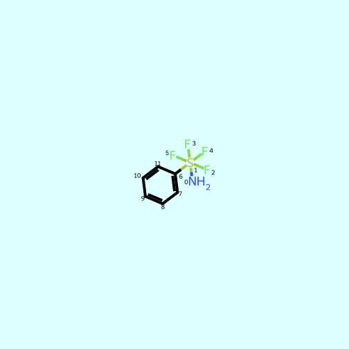 NS(F)(F)(F)(F)c1ccccc1